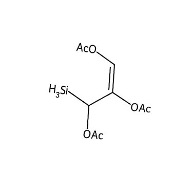 CC(=O)OC=C(OC(C)=O)C([SiH3])OC(C)=O